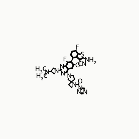 CN(C)C1CN(c2nc(N3CCC4(CCN4C(=O)n4cncn4)C3)c3cc(Cl)c(-c4ccc(F)c5sc(N)c(C#N)c45)c(F)c3n2)C1